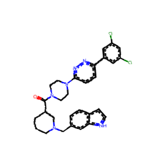 O=C(C1CCCN(Cc2ccc3cc[nH]c3c2)C1)N1CCN(c2ccc(-c3cc(Cl)cc(Cl)c3)nn2)CC1